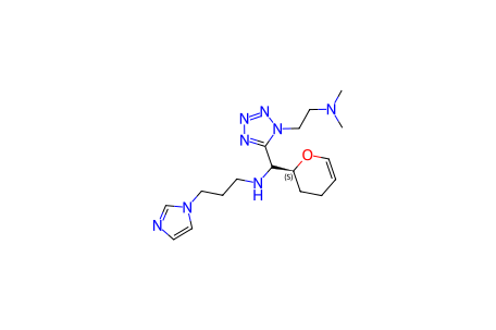 CN(C)CCn1nnnc1C(NCCCn1ccnc1)[C@@H]1CCC=CO1